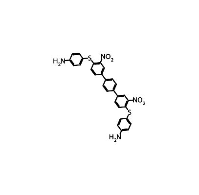 Nc1ccc(Sc2ccc(-c3ccc(-c4ccc(Sc5ccc(N)cc5)c([N+](=O)[O-])c4)cc3)cc2[N+](=O)[O-])cc1